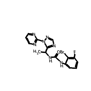 CC(NC(=O)Nc1cccc(F)c1Br)c1ncnn1-c1ncccn1